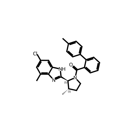 Cc1ccc(-c2ccccc2C(=O)N2CC[C@H](C)[C@H]2c2nc3c(C)cc(Cl)cc3[nH]2)cc1